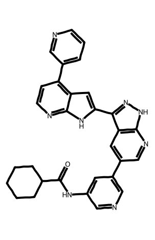 O=C(Nc1cncc(-c2cnc3[nH]nc(-c4cc5c(-c6cccnc6)ccnc5[nH]4)c3c2)c1)C1CCCCC1